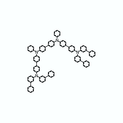 c1ccc(-c2cccc(N(c3ccc(-c4ccc(N(c5ccccc5)c5ccc(-c6ccc(N(c7ccccc7)c7ccc(-c8ccc(N(c9cccc(-c%10ccccc%10)c9)c9cccc(-c%10ccccc%10)c9)cc8)cc7)cc6)cc5)cc4)cc3)c3cccc(-c4ccccc4)c3)c2)cc1